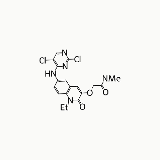 CCn1c(=O)c(OCC(=O)NC)cc2cc(Nc3nc(Cl)ncc3Cl)ccc21